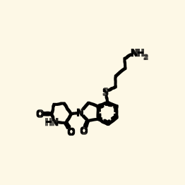 NCCCCSc1cccc2c1CN(C1CCC(=O)NC1=O)C2=O